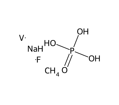 C.O=P(O)(O)O.[F].[NaH].[V]